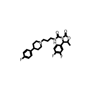 CC1OC(=O)N(C(=O)NCCCN2CCC(c3ccc(F)cc3)CC2)C1c1ccc(F)c(F)c1